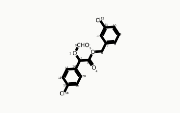 O=[C]OC(C(=O)OCc1cccc(Cl)c1)c1ccc(Cl)cc1